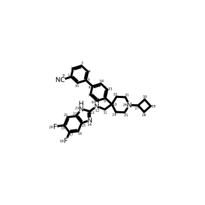 N#Cc1cccc(-c2ccc(C3(CNc4nc5cc(F)c(F)cc5[nH]4)CCN(C4CCC4)CC3)cc2)c1